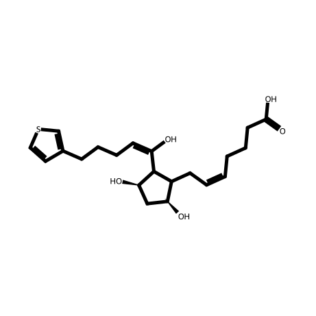 O=C(O)CCC/C=C\CC1C(/C(O)=C\CCCc2ccsc2)[C@H](O)C[C@@H]1O